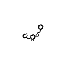 c1ccc(CCOc2ccc(Cc3cccs3)nc2)cc1